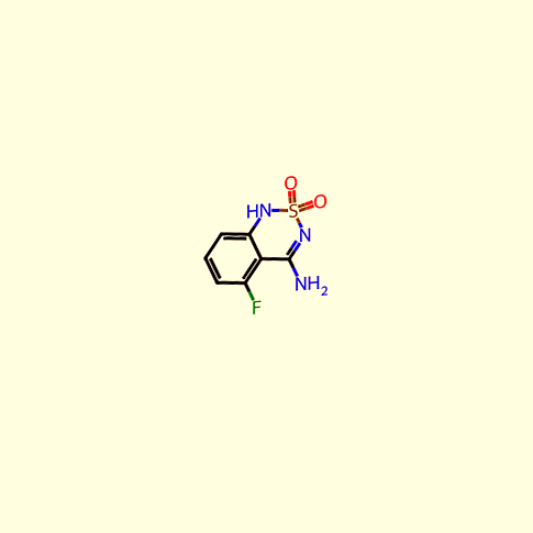 NC1=NS(=O)(=O)Nc2cccc(F)c21